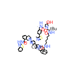 Cc1ncsc1-c1ccc([C@H](C)NC(=O)[C@@H]2C[C@@H](O)CN2C(=O)C(NC(=O)CCCCCCNC(=O)C23CC4CC(CC(Cn5ncc(-c6ccc(N7CCc8cccc(C(=O)Nc9nc%10ccccc%10s9)c8C7)nc6C(=O)O)c5C)(C4)C2)C3)C(C)(C)C)cc1